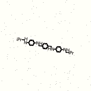 CC(C)CNc1ccc(NCc2ccc(CNc3ccc(NCC(C)C)cc3)cc2)cc1